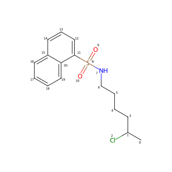 CC(Cl)CCCCNS(=O)(=O)c1cccc2ccccc12